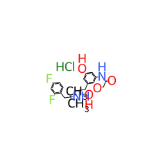 CC(C)(Cc1ccc(F)cc1F)NCC(O)c1cc(O)cc2c1OCC(=O)N2.Cl